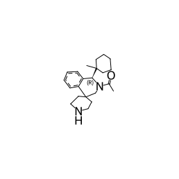 CC(=O)N1CC2(CCNCC2)c2ccccc2[C@H]1C1(C)CCCCC1